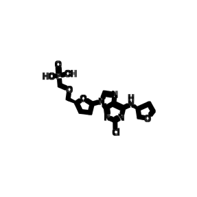 O=P(O)(O)COC[C@@H]1CCC(n2cnc3c(N[C@H]4CCOC4)nc(Cl)nc32)O1